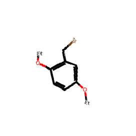 CCOc1ccc(OCC)c(CBr)c1